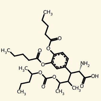 CCCCC(=O)Oc1ccc(C(C(C)C(C)OC(=O)OC(C)CCC)[C@H](N)C(=O)O)cc1OC(=O)CCCC